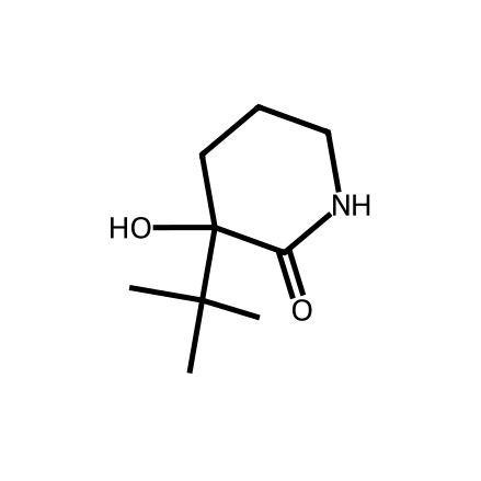 CC(C)(C)C1(O)CCCNC1=O